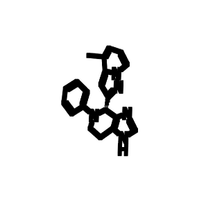 Cc1cccn2nc([C@@H]3c4nc[nH]c4CCN3c3ccccc3)cc12